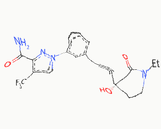 CCN1CC[C@@](O)(C#Cc2cccc(-n3cc(C(F)(F)F)c(C(N)=O)n3)c2)C1=O